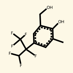 Cc1cc(C(F)(C(F)F)C(F)(F)F)cc(CO)c1O